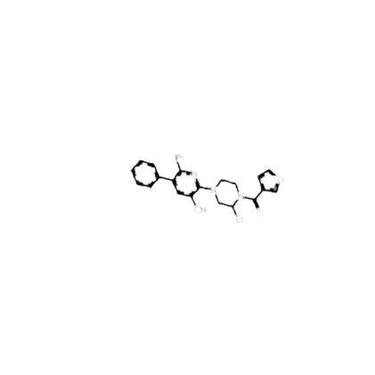 CCC1CN(c2nc(C(C)C)c(-c3ccccc3)cc2C#N)CCN1C(=O)c1ccoc1